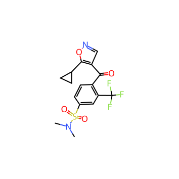 CN(C)S(=O)(=O)c1ccc(C(=O)c2cnoc2C2CC2)c(C(F)(F)F)c1